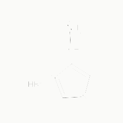 Br.CN.c1ccsc1